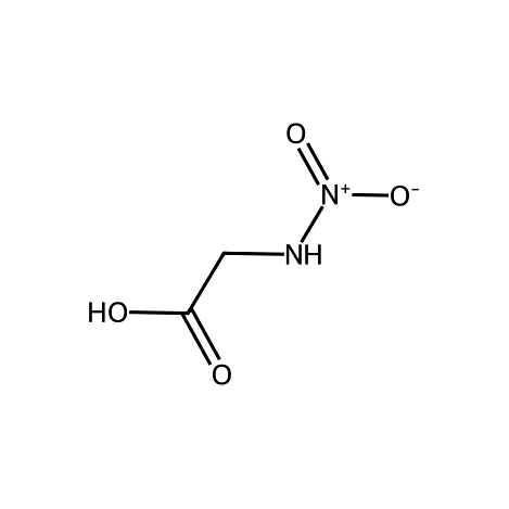 O=C(O)CN[N+](=O)[O-]